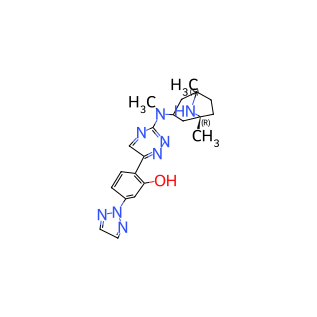 CN(c1ncc(-c2ccc(-n3nccn3)cc2O)nn1)C1C[C@]2(C)CC[C@](C)(C1)N2